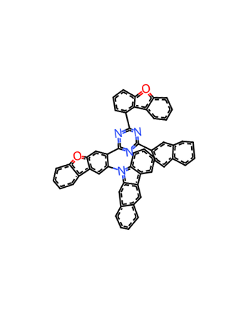 c1ccc2cc(-c3nc(-c4cc5oc6ccccc6c5cc4-n4c5ccccc5c5cc6ccccc6cc54)nc(-c4cccc5oc6ccccc6c45)n3)ccc2c1